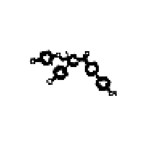 C[C@]1(COc2ccc(Cl)cn2)CN(C(=O)C2CCN(c3ccc(C#N)cc3)CC2)C[C@@H]1c1ccc(Cl)cc1